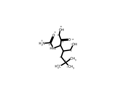 CC(C)(C)CC(CO)C(NC(N)=O)C(=O)CO